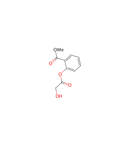 COC(=O)c1ccccc1OC(=O)CO